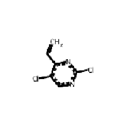 C=Cc1nc(Cl)ncc1Cl